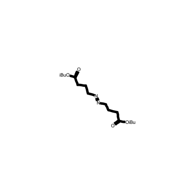 CC(C)COC(=O)CCCN=NCCCC(=O)OCC(C)C